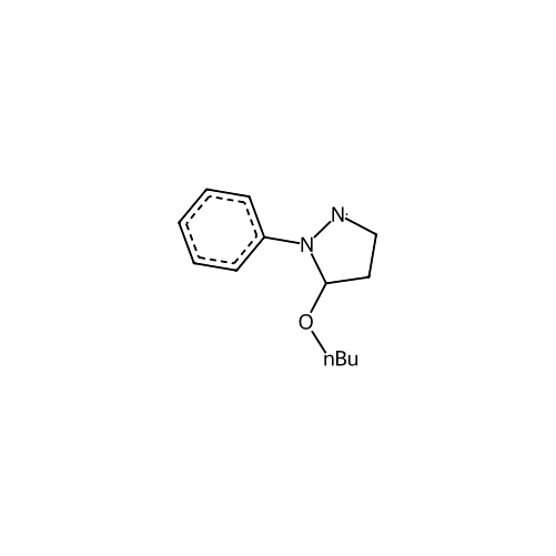 CCCCOC1CC[N]N1c1ccccc1